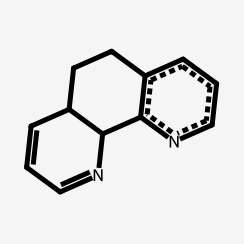 C1=CC2CCc3cccnc3C2N=C1